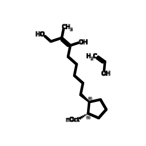 C=CO.CCCCCCCC[C@H]1CCC[C@@H]1CCCCCC(O)=C(C)CO